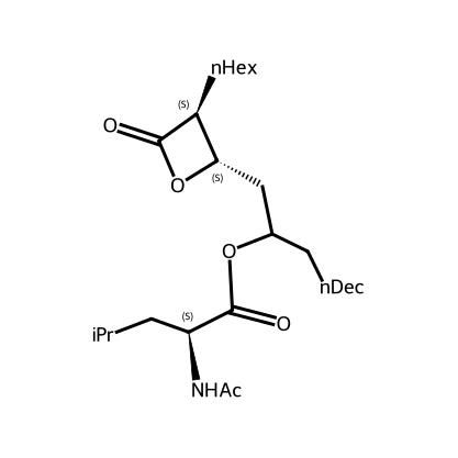 CCCCCCCCCCCC(C[C@@H]1OC(=O)[C@H]1CCCCCC)OC(=O)[C@H](CC(C)C)NC(C)=O